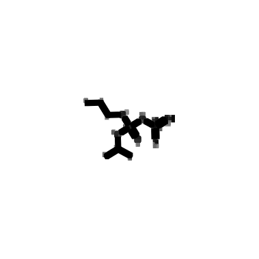 CCCOP(=O)(OC(C)C)O[SH](=P)=S